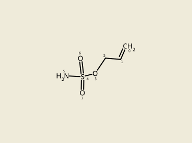 C=CCOS(N)(=O)=O